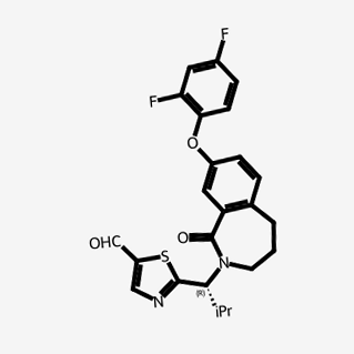 CC(C)[C@H](c1ncc(C=O)s1)N1CCCc2ccc(Oc3ccc(F)cc3F)cc2C1=O